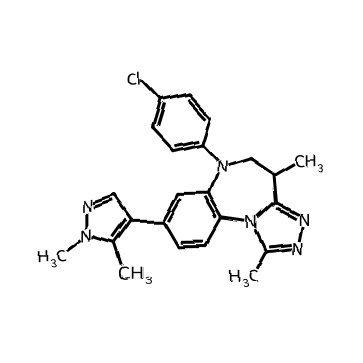 Cc1c(-c2ccc3c(c2)N(c2ccc(Cl)cc2)CC(C)c2nnc(C)n2-3)cnn1C